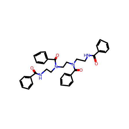 O=C(NCCN(CCN(CCNC(=O)c1ccccc1)C(=O)c1ccccc1)C(=O)c1ccccc1)c1ccccc1